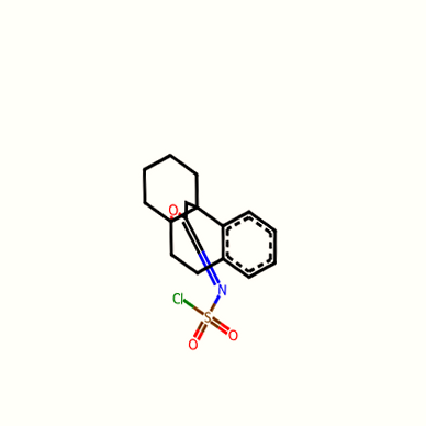 O=S(=O)(Cl)/N=C1/CC23CCCCC2(CCc2ccccc23)O1